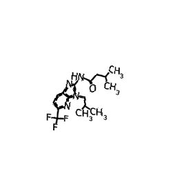 CC(C)CC(=O)Nc1nc2ccc(C(F)(F)F)nc2n1CC(C)C